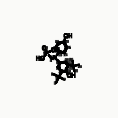 CC(C)(C)c1cc(N(CP(=O)(O)O)c2ccc(O)cc2)cc(C(C)(C)C)c1O